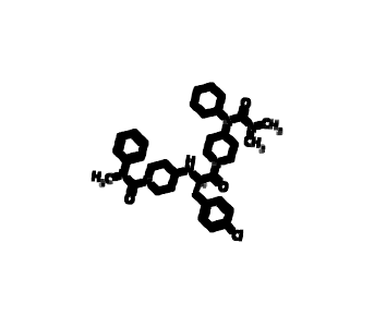 CN(C)C(=O)N(C1CCCCC1)C1CCN(C(=O)[C@@H](Cc2ccc(Cl)cc2)NC2CCN(C(=O)N(C)c3ccccc3)CC2)CC1